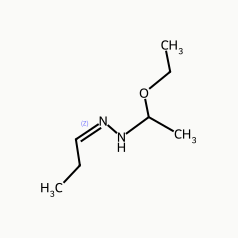 CC/C=N\NC(C)OCC